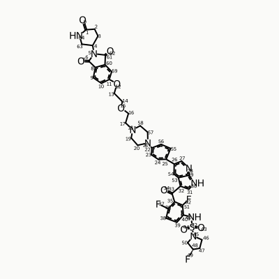 O=C1CCC(N2C(=O)c3ccc(OCCOCCN4CCN(c5ccc(-c6cnc7[nH]cc(C(=O)c8c(F)ccc(NS(=O)(=O)N9CC[C@@H](F)C9)c8F)c7c6)cc5)CC4)cc3C2=O)CN1